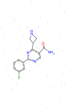 NC(=O)c1cnc(-c2cccc(F)c2)nc1C1CNC1